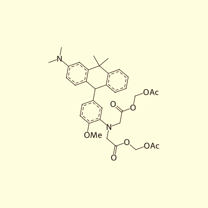 COc1ccc(C2c3ccccc3C(C)(C)c3cc(N(C)C)ccc32)cc1N(CC(=O)OCOC(C)=O)CC(=O)OCOC(C)=O